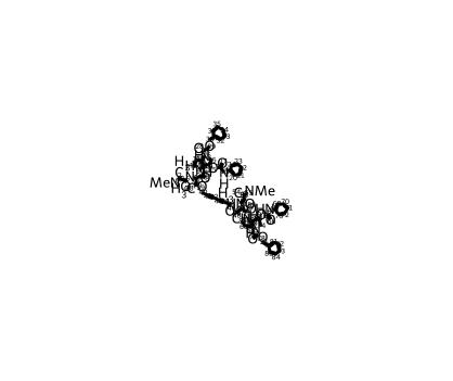 CN[C@@H](C)C(=O)N[C@H](C(=O)N1CC[C@@H]2[C@H]1[C@@H](OC(=O)Nc1ccccc1)CN2C(=O)OCc1ccccc1)[C@@H](C)OCC#CC#CCO[C@H](C)[C@H](NC(=O)[C@H](C)NC)C(=O)N1CC[C@@H]2[C@H]1[C@@H](OC(=O)Nc1ccccc1)CN2C(=O)OCc1ccccc1